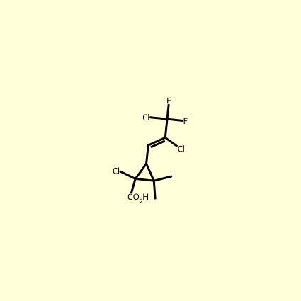 CC1(C)C(C=C(Cl)C(F)(F)Cl)C1(Cl)C(=O)O